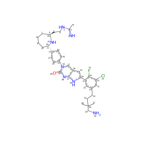 CC(=N)NCC[C@@H]1CCCC[C@@H](c2ccc(-n3cc4cc(-c5cc(CCC(C)(C)CN)cc(Cl)c5F)[nH]c4nc3=O)cc2)N1